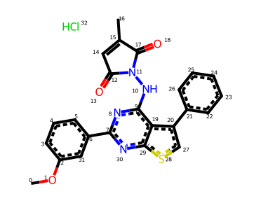 COc1cccc(-c2nc(NN3C(=O)C=C(C)C3=O)c3c(-c4ccccc4)csc3n2)c1.Cl